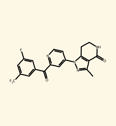 Cc1nn(-c2ccnc(C(=O)c3cc(F)cc(C(F)(F)F)c3)c2)c2c1C(=O)NCC2